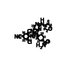 C[C@@H]1COCC[C@@H]1Nc1ncc2nc(Nc3c(Cl)cc(C#N)cc3Cl)n([C@H]3CC[C@@H](C(N)=O)CC3)c2n1